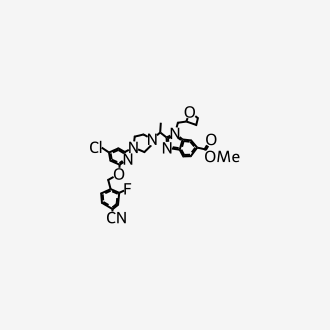 COC(=O)c1ccc2nc(C(C)N3CCN(c4cc(Cl)cc(OCc5ccc(C#N)cc5F)n4)CC3)n(CC3CCO3)c2c1